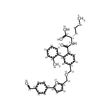 CSCC[C@H](NC(=O)c1ccc(COCc2ccc(-c3ccc(C=O)cc3)o2)cc1-c1ccccc1C)C(=O)O